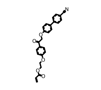 C=CC(=O)OCCOc1ccc(C(=O)COc2ccc(-c3ccc(C#N)cc3)cc2)cc1